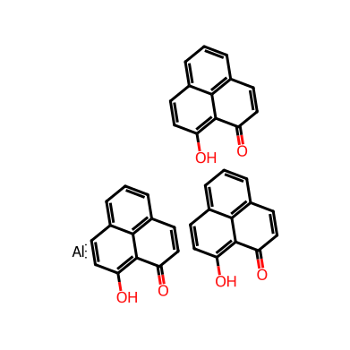 O=C1C=Cc2cccc3ccc(O)c1c23.O=C1C=Cc2cccc3ccc(O)c1c23.O=C1C=Cc2cccc3ccc(O)c1c23.[Al]